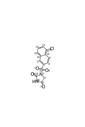 O=C1CN(S(=O)(=O)c2ccc3c(Cl)cccc3c2)C(=O)N1